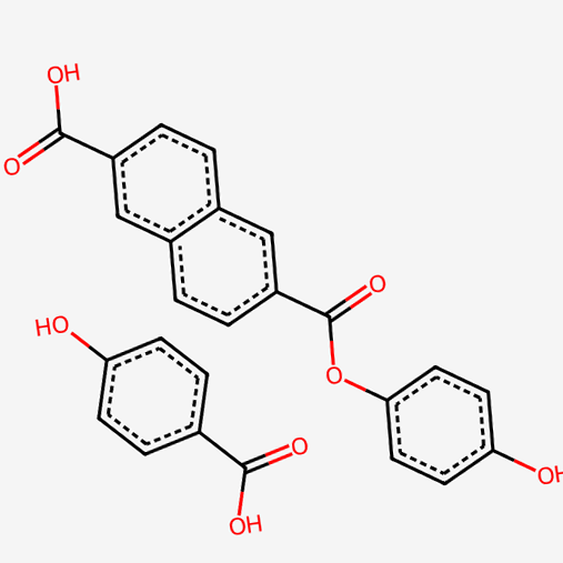 O=C(O)c1ccc(O)cc1.O=C(O)c1ccc2cc(C(=O)Oc3ccc(O)cc3)ccc2c1